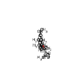 C=C(C)[C@@]1(C(=O)NCCC(=O)N2CCCC2C(=O)OC)CC[C@@H]2CC[C@]3(C)[C@H](CC[C@@H]4[C@@]5(C)CC=C(c6ccc(C(=O)OC)cc6)C(C)(C)[C@@H]5CC[C@]43C)[C@@H]21